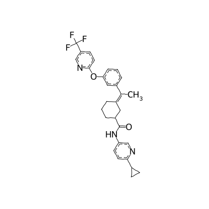 CC(=C1CCCC(C(=O)Nc2ccc(C3CC3)nc2)C1)c1cccc(Oc2ccc(C(F)(F)F)cn2)c1